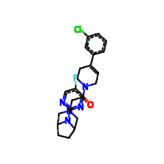 O=C(CN1CC2CCC(C1)N2c1ncc(F)cn1)N1CC=C(c2cccc(Cl)c2)CC1